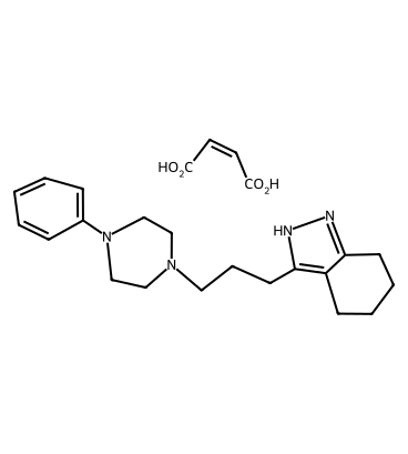 O=C(O)/C=C\C(=O)O.c1ccc(N2CCN(CCCc3[nH]nc4c3CCCC4)CC2)cc1